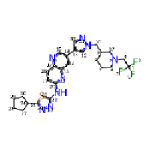 FC(F)(F)CN1CCCC(Cn2cc(-c3cnc4ccc(Nc5nnc(C6CCCC6)s5)nc4c3)cn2)C1